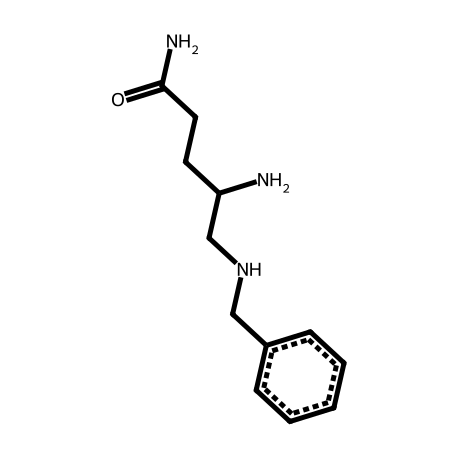 NC(=O)CCC(N)CNCc1ccccc1